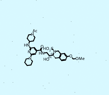 COCOc1ccc2c(c1)CN(C(=O)O)[C@H]([C@H](O)CNC(=O)c1cc(NC3CCN(C(C)=O)CC3)nc(N3CCCCC3)c1)C2